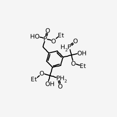 CCOC(O)([PH2]=O)c1cc(CP(=O)(O)OCC)cc(C(O)(OCC)[PH2]=O)c1